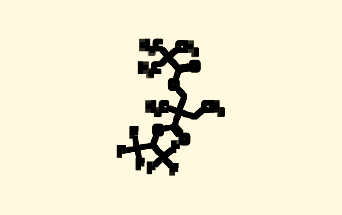 CCC(C)(COC(=O)C(C)(C)C)C(=O)OC(C(F)(F)F)C(F)(F)F